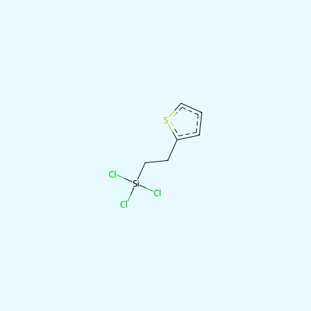 Cl[Si](Cl)(Cl)CCc1cccs1